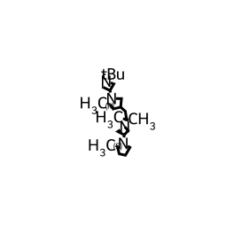 C[C@@H]1CC(CC(C)(C)N2CC(N3CCC[C@@H]3C)C2)CN1C1CN(C(C)(C)C)C1